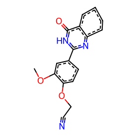 COc1cc(-c2nc3ccccc3c(=O)[nH]2)ccc1OCC#N